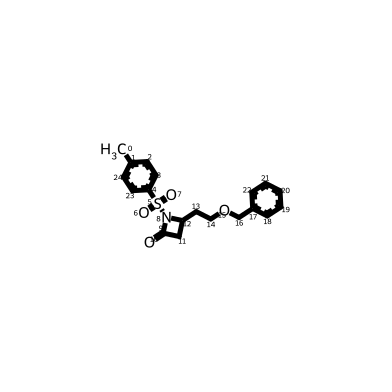 Cc1ccc(S(=O)(=O)N2C(=O)CC2CCOCc2ccccc2)cc1